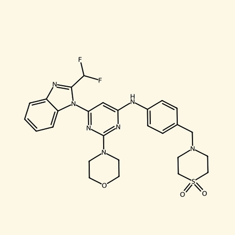 O=S1(=O)CCN(Cc2ccc(Nc3cc(-n4c(C(F)F)nc5ccccc54)nc(N4CCOCC4)n3)cc2)CC1